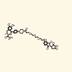 CNC(=O)N1N=C(c2ccc(N3CCN(C(=O)CCOCCOCCOCCNc4ccc5c(c4)C(=O)N(C4CCC(=O)NC4=O)C5=O)CC3)cc2)c2cc(OC)c(OC)cc2C[C@@H]1C